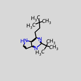 CC(C)(C)CCc1nc(C(C)(C)C)nc2cc[nH]c12